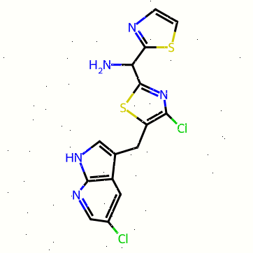 NC(c1nccs1)c1nc(Cl)c(Cc2c[nH]c3ncc(Cl)cc23)s1